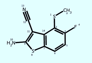 CSc1c(F)ccc2sc(N)c(C#N)c12